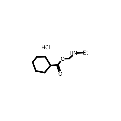 CCNCOC(=O)C1CCCCC1.Cl